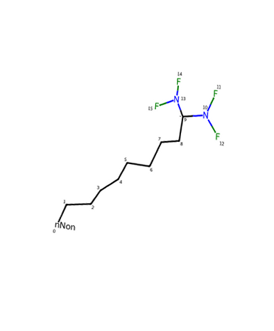 CCCCCCCCCCCCCCCCC[C](N(F)F)N(F)F